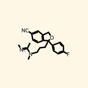 C/N=C(\C)N(C)CCCC1(c2ccc(F)cc2)OCc2cc(C#N)ccc21